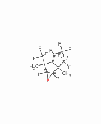 CC(C(=C(F)C(F)(F)F)C(C)(C(F)(F)F)C(F)(F)F)(C(F)(F)F)C(F)(F)F